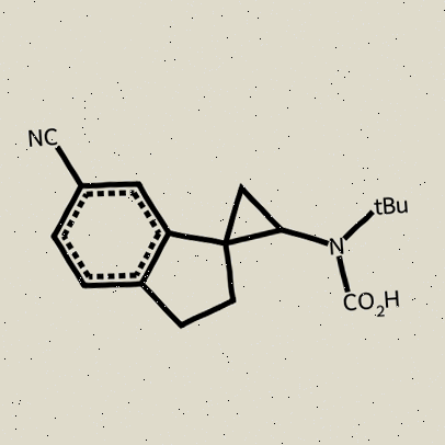 CC(C)(C)N(C(=O)O)C1CC12CCc1ccc(C#N)cc12